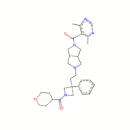 Cc1ncnc(C)c1C(=O)N1CC2CN(CCC3(c4ccccc4)CN(C(=O)C4CCOCC4)C3)CC2C1